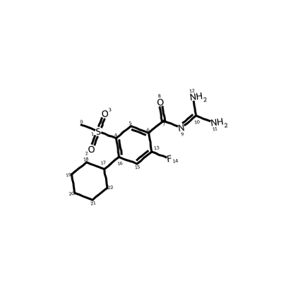 CS(=O)(=O)c1cc(C(=O)N=C(N)N)c(F)cc1C1CCCCC1